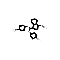 COc1ccc(C(Oc2ccc(C)cc2)Oc2ccc(C)cc2)c2ccccc12